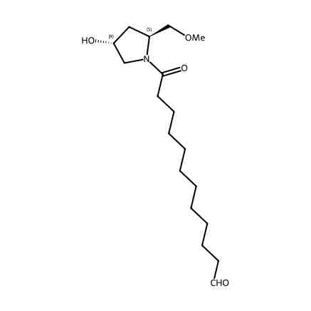 COC[C@@H]1C[C@@H](O)CN1C(=O)CCCCCCCCCCC=O